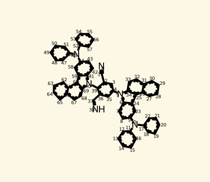 N#Cc1cc(-n2c3ccc(N(c4ccccc4)c4ccccc4)cc3c3c4ccccc4ccc32)cc(C=N)c1-n1c2ccc(N(c3ccccc3)c3ccccc3)cc2c2c3ccccc3ccc21